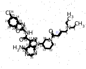 CCN(CC)C/C=C/C(=O)N1CCCC(n2nc(C(=O)Nc3nc4cc(Cl)ccc4o3)c3c(N)ncnc32)C1